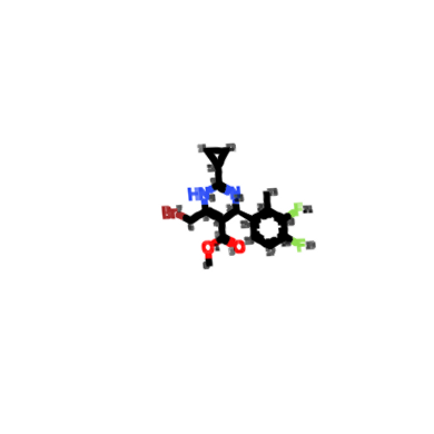 COC(=O)C1=C(CBr)NC(C2CC2)=N[C@H]1c1ccc(F)c(F)c1C